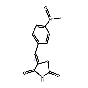 O=C1NC(=O)/C(=C/c2ccc([N+](=O)[O-])cc2)S1